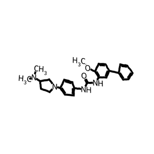 COc1ccc(-c2ccccc2)cc1NC(=O)Nc1ccc(N2CCC(N(C)C)C2)cc1